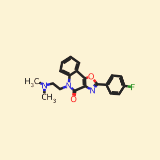 CN(C)CCn1c(=O)c2nc(-c3ccc(F)cc3)oc2c2ccccc21